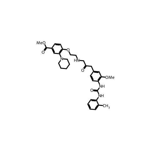 COC(=O)c1ccc(OCCNCC(=O)Cc2ccc(NC(=O)Nc3ccccc3C)c(OC)c2)c(N2CCCCC2)c1